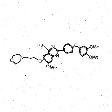 COc1ccc(Oc2ccc(-c3nc(N)c4cc(OCCCN5CCOCC5)c(OC)cc4n3)cc2)cc1OC